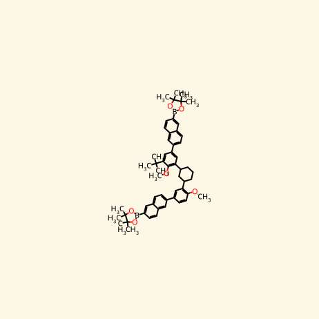 COc1ccc(-c2ccc3cc(B4OC(C)(C)C(C)(C)O4)ccc3c2)cc1C1CCCC(c2cc(-c3ccc4cc(B5OC(C)(C)C(C)(C)O5)ccc4c3)cc(C(C)(C)C)c2OC)C1